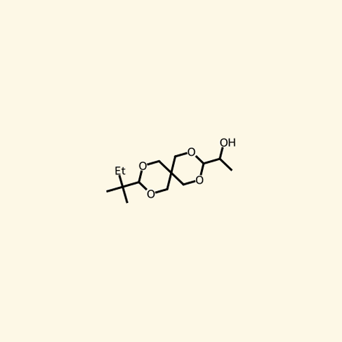 CCC(C)(C)C1OCC2(COC(C(C)O)OC2)CO1